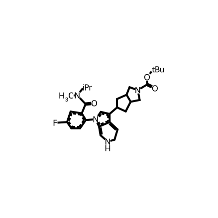 CC(C)N(C)C(=O)c1cc(F)ccc1-n1cc(C2CC3CN(C(=O)OC(C)(C)C)CC3C2)c2c1=CNCC=2